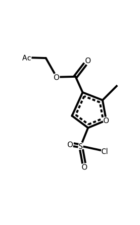 CC(=O)COC(=O)c1cc(S(=O)(=O)Cl)oc1C